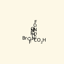 O=C(O)C(Cc1ccc(-c2noc(-c3ccc(F)cc3)n2)c(F)c1)NCc1ccc(Br)cc1F